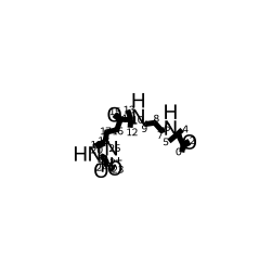 CC(=O)C(C)(C)NCCCNC(C)(C)C(=O)CCc1c[nH]c([N+](=O)[O-])n1